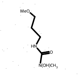 COCCCNC(=O)N(C)O